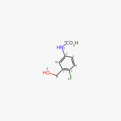 O=C(O)Nc1ccc(F)c(CO)c1